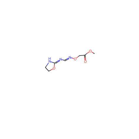 COC(=O)CON=CN=C1NCCO1